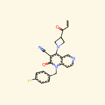 C=CC(=O)C1CN(c2c(C#N)c(=O)n(Cc3ccc(F)cc3)c3ccncc23)C1